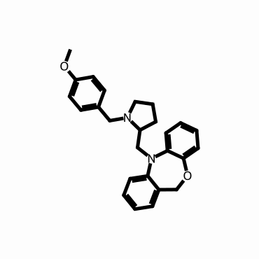 COc1ccc(CN2CCCC2CN2c3ccccc3COc3ccccc32)cc1